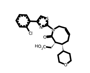 O=C(O)C[C@@H]1C(=O)N(c2nc(-c3ccccc3Cl)cs2)CC=CC[C@@H]1C1CCOCC1